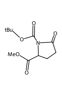 COC(=O)C1CCC(=O)N1C(=O)OC(C)(C)C